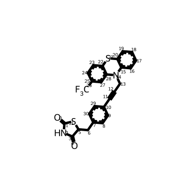 O=C1NC(=O)C(Cc2ccc(C#CCN3c4ccccc4Sc4ccc(C(F)(F)F)cc43)cc2)S1